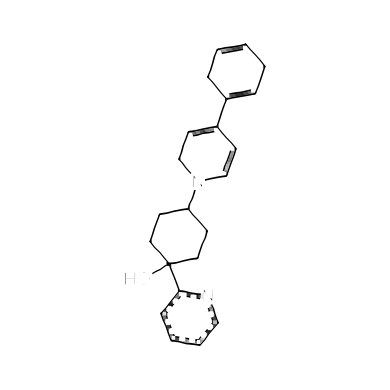 OC1(c2ccccn2)CCC(N2C=CC(C3=CCC=CC3)=CC2)CC1